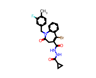 Cc1ccc(CN2C(=O)CC(C(=O)NNC(=O)C3CC3)=C(Br)c3ccccc32)cc1F